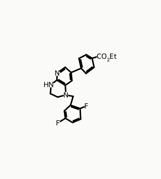 CCOC(=O)c1ccc(-c2cnc3c(c2)N(Cc2cc(F)ccc2F)CCN3)cc1